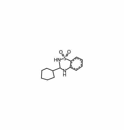 O=S1(=O)NC(C2CCCCC2)Nc2ccccc21